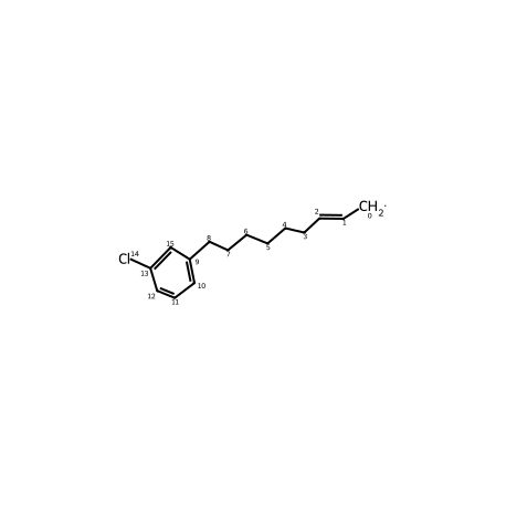 [CH2]/C=C/CCCCCCc1cccc(Cl)c1